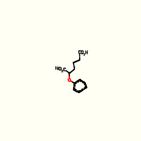 O=C(O)CCCC(Oc1ccccc1)C(=O)O